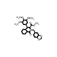 COC(=O)c1c(-c2cc(OC)c(OC)c(OC)c2)c2ccccc2c(=O)n1Cc1ccc2c(c1)OCO2